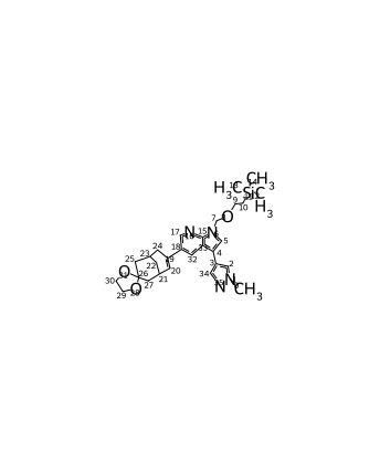 Cn1cc(-c2cn(COCC[Si](C)(C)C)c3ncc(C4=CC5CC(C4)CC4(C5)OCCO4)cc23)cn1